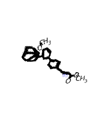 COC(=O)/C=C/c1ccc(-c2ccc(OC)c(C34CC5CC(CC(C5)C3)C4)c2)cc1